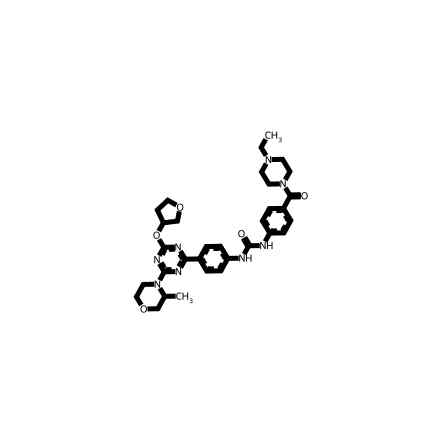 CCN1CCN(C(=O)c2ccc(NC(=O)Nc3ccc(-c4nc(OC5CCOC5)nc(N5CCOCC5C)n4)cc3)cc2)CC1